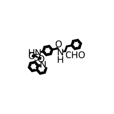 O=C[C@H](Cc1ccccc1)NC(=O)c1ccc(NS(=O)(=O)c2cccc3cccnc23)cc1